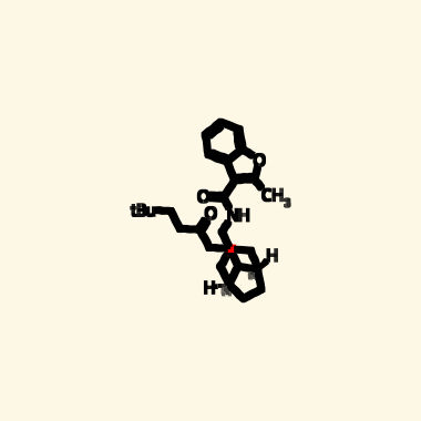 Cc1oc2ccccc2c1C(=O)NCC1C[C@@H]2CC[C@@H](C1)C2CCC(=O)CCC(C)(C)C